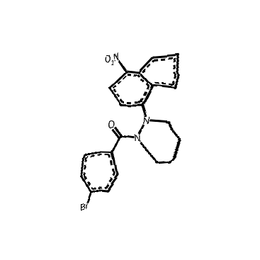 O=C(c1ccc(Br)cc1)N1CCCCN1c1ccc([N+](=O)[O-])c2ccccc12